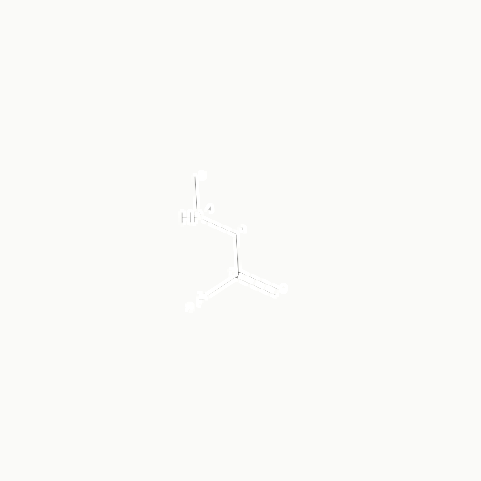 C=C(F)CPC